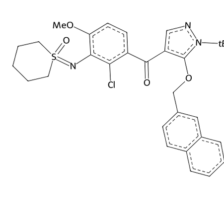 COc1ccc(C(=O)c2cnn(C(C)(C)C)c2OCc2ccc3ccccc3c2)c(Cl)c1N=S1(=O)CCCCC1